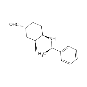 C[C@@H](N[C@@H]1CC[C@@H](C=O)C[C@@H]1F)c1ccccc1